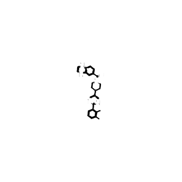 Cc1cccc(-c2ncc(C3CCN(C(=O)c4ccc5nccnc5c4)CC3)cn2)c1C